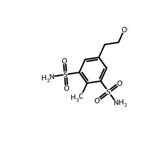 Cc1c(S(N)(=O)=O)cc(CC[O])cc1S(N)(=O)=O